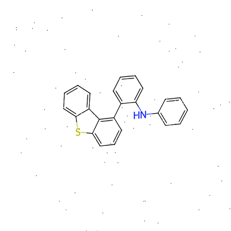 c1ccc(Nc2ccccc2-c2cccc3sc4ccccc4c23)cc1